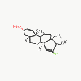 CC(=O)O[C@H]1C(F)=C[C@H]2C3=C(CC[C@@]21C)[C@@]1(C)C=C[C@H](O)C[C@H]1CC3